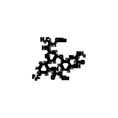 COC[C@H](C)Nc1nc(Oc2cccc3[nH]c(=O)c(N)nc23)cc(-c2ccc(C(F)(F)F)cc2NC(=O)OC(C)(C)C)n1